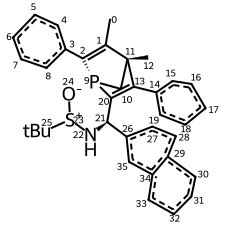 CC1=C(c2ccccc2)[P@]2C[C@@]1(C)C(c1ccccc1)=C2[C@H](N[S+]([O-])C(C)(C)C)c1ccc2ccccc2c1